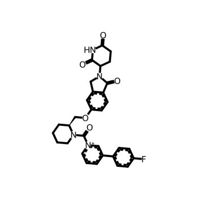 O=C1CCC(N2Cc3cc(OC[C@@H]4CCCCN4C(=O)[n+]4cccc(-c5ccc(F)cc5)c4)ccc3C2=O)C(=O)N1